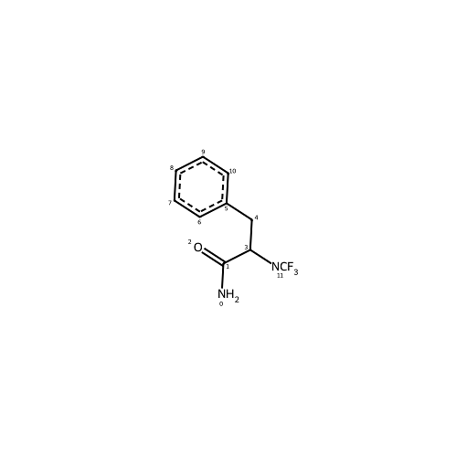 NC(=O)C(Cc1ccccc1)NC(F)(F)F